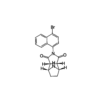 O=C1[C@@H]2[C@H](C(=O)N1c1ccc(Br)c3ccccc13)[C@@H]1CC[C@H]2N1